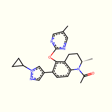 CC(=O)N1c2ccc(-c3cnn(C4CC4)c3)c(Oc3ncc(C)cn3)c2CC[C@@H]1C